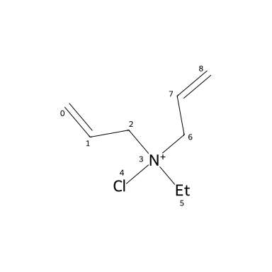 C=CC[N+](Cl)(CC)CC=C